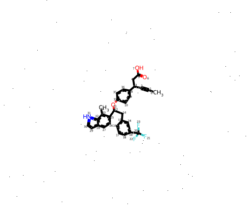 CC#CC(CC(=O)O)c1ccc(OC(Cc2cccc(C(F)(F)F)c2)c2ccc3cc[nH]c3c2C)cc1